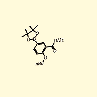 CCCCOc1ccc(B2OC(C)(C)C(C)(C)O2)cc1C(=O)OC